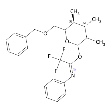 CC1C(O/C(=N/c2ccccc2)C(F)(F)F)OC(COCc2ccccc2)[C@@H](C)[C@@H]1C